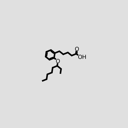 CCCCCC(CC)Oc1ccccc1CCCCC(=O)O